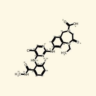 CCN1C(=O)CN(C(=O)O)Cc2ccc(Nc3ncc(Cl)c(Nc4c(F)cccc4C(=O)NC)n3)cc21